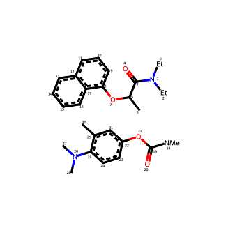 CCN(CC)C(=O)C(C)Oc1cccc2ccccc12.CNC(=O)Oc1ccc(N(C)C)c(C)c1